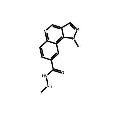 CNNC(=O)c1ccc2ncc3cnn(C)c3c2c1